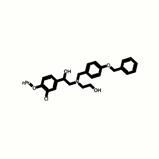 CCCOc1ccc(C(O)CN(CCO)Cc2ccc(OCc3ccccc3)cc2)cc1Cl